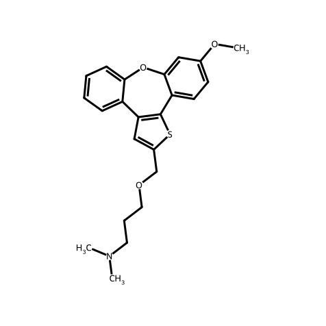 COc1ccc2c(c1)Oc1ccccc1-c1cc(COCCCN(C)C)sc1-2